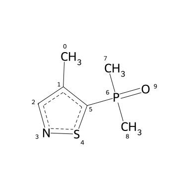 Cc1cnsc1P(C)(C)=O